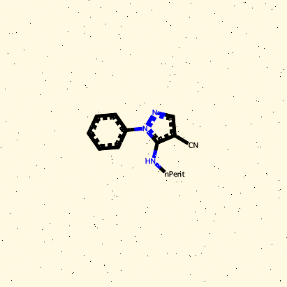 CCCCCNc1c(C#N)cnn1-c1ccccc1